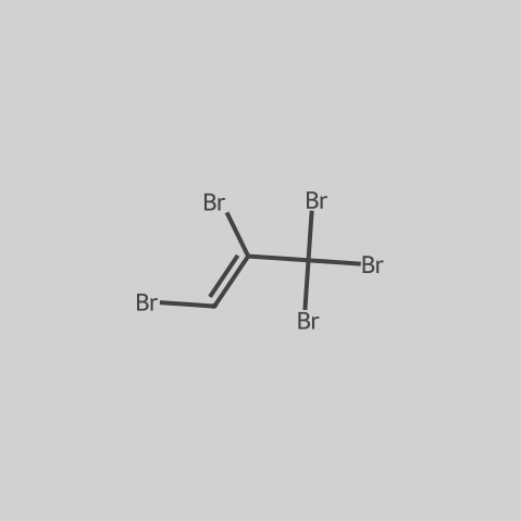 BrC=C(Br)C(Br)(Br)Br